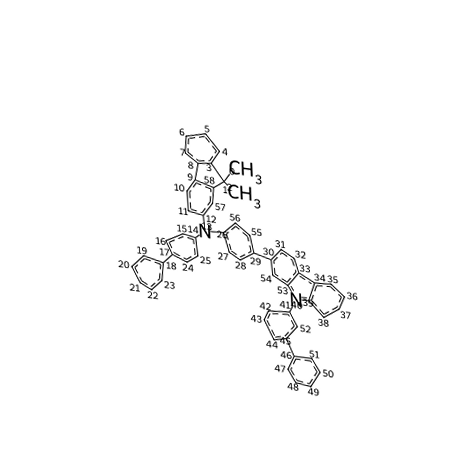 CC1(C)c2ccccc2-c2ccc(N(c3ccc(-c4ccccc4)cc3)c3ccc(-c4ccc5c6ccccc6n(-c6cccc(-c7ccccc7)c6)c5c4)cc3)cc21